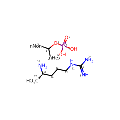 CCCCCCCCCC(CCCCCC)OP(=O)(O)O.N=C(N)NCCC[C@H](N)C(=O)O